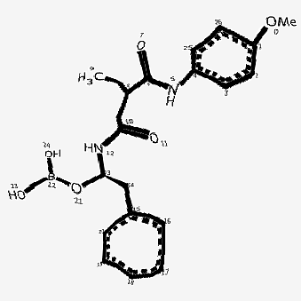 COc1ccc(NC(=O)C(C)C(=O)N[C@@H](Cc2ccccc2)OB(O)O)cc1